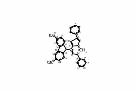 CC1C=C(c2ccccc2)C=[C]1[Zr](=[CH]Cc1ccccc1)[CH]1c2ccc(C(C)(C)C)cc2-c2cc(C(C)(C)C)ccc21